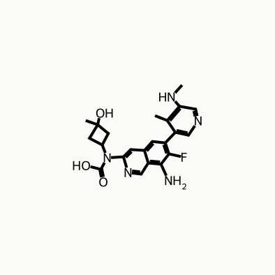 CNc1cncc(-c2cc3cc(N(C(=O)O)C4CC(C)(O)C4)ncc3c(N)c2F)c1C